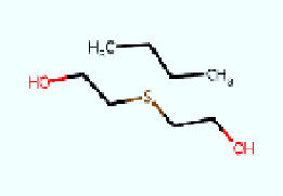 CCCC.OCCSCCO